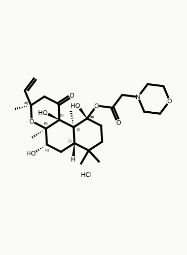 C=C[C@@]1(C)CC(=O)[C@]2(O)[C@]3(C)[C@@H](C[C@H](O)[C@@]2(C)O1)C(C)(C)CC[C@@]3(O)OC(=O)CN1CCOCC1.Cl